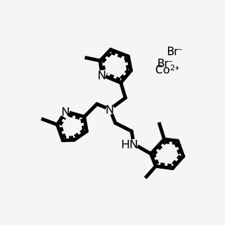 Cc1cccc(CN(CCNc2c(C)cccc2C)Cc2cccc(C)n2)n1.[Br-].[Br-].[Co+2]